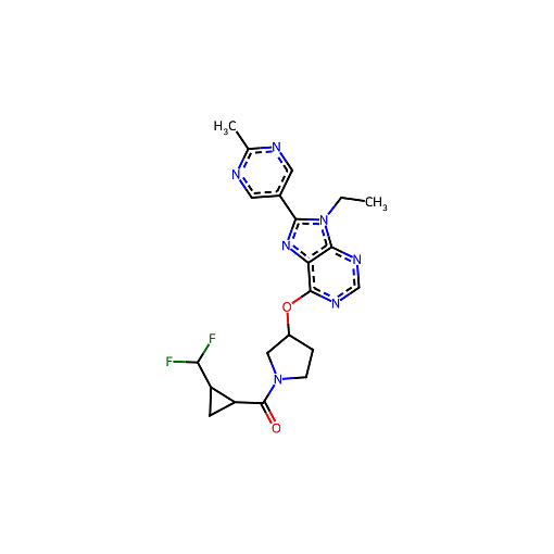 CCn1c(-c2cnc(C)nc2)nc2c(OC3CCN(C(=O)C4CC4C(F)F)C3)ncnc21